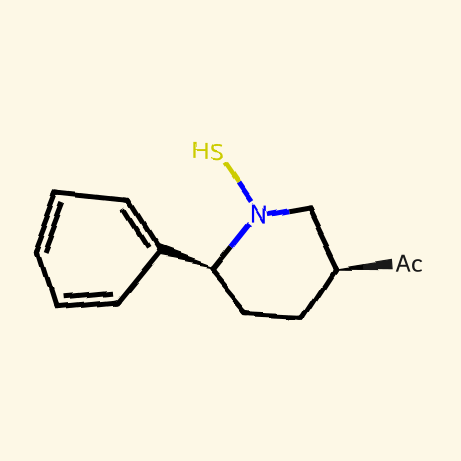 CC(=O)[C@H]1CC[C@@H](c2ccccc2)N(S)C1